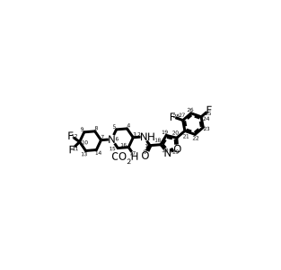 O=C(NC1CCN(C2CCC(F)(F)CC2)CC1C(=O)O)c1cc(-c2ccc(F)cc2F)on1